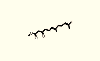 COC(=O)CC(=O)CC/C=C(\C)CCC=C(C)C